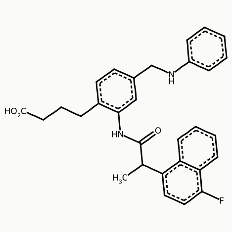 CC(C(=O)Nc1cc(CNc2ccccc2)ccc1CCCC(=O)O)c1ccc(F)c2ccccc12